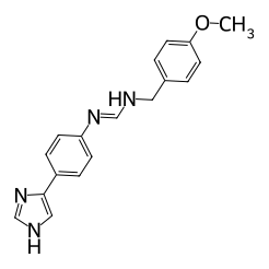 COc1ccc(CNC=Nc2ccc(-c3c[nH]cn3)cc2)cc1